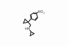 O=[N+]([O-])c1ccc(C2(CNC3CC3)CC2)cc1